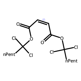 CCCCCC(Cl)(Cl)OC(=O)/C=C\C(=O)OC(Cl)(Cl)CCCCC